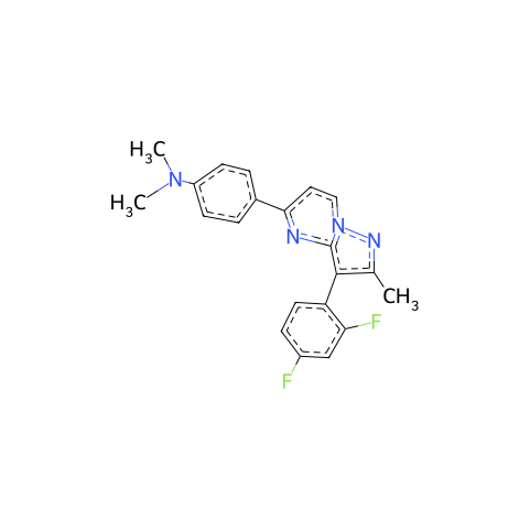 Cc1nn2ccc(-c3ccc(N(C)C)cc3)nc2c1-c1ccc(F)cc1F